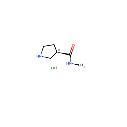 CNC(=O)[C@@H]1CCNC1.Cl